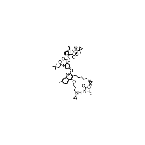 C=C[C@@H]1C#C[C@]1(NC(=O)[C@@H]1C[C@@H](Oc2nc3cc(C)ccc3c(OCCCNC3CC3)c2CCCCC[C@@H]2C[C@H]2OC(N)=O)CN1C(=O)CC(C)(C)C)C(=O)NS(=O)(=O)C1(C)CC1